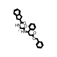 C[C@H](NC(=O)C1Cc2ccccc2C1)C(=O)NC(CC(=O)OCc1ccccc1)c1ccccc1